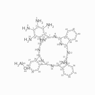 Nc1c(N)c(N)c2c3nc4nc(nc5[nH]c(nc6nc(nc([nH]3)c2c1N)-c1ccccc1-6)c1ccccc51)-c1ccccc1-4.[OH][AlH2]